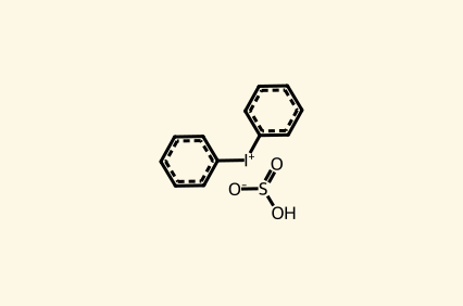 O=S([O-])O.c1ccc([I+]c2ccccc2)cc1